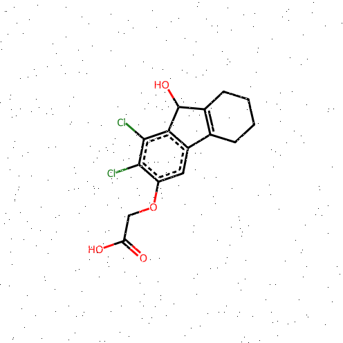 O=C(O)COc1cc2c(c(Cl)c1Cl)C(O)C1=C2CCCC1